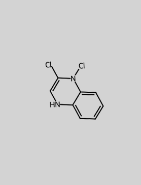 ClC1=CNc2ccccc2N1Cl